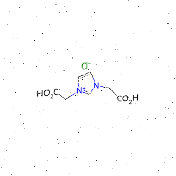 O=C(O)Cn1cc[n+](CC(=O)O)c1.[Cl-]